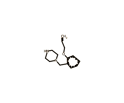 C=CCOc1ccccc1CN1CCNCC1